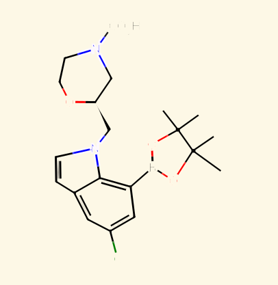 CC1(C)OB(c2cc(Cl)cc3ccn(C[C@@H]4CN(C(=O)O)CCO4)c23)OC1(C)C